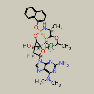 CC(C)OC(=O)[C@@H](C)NP(=S)(Oc1cccc2ccccc12)OC1[C@@]2(CCl)O[C@@H](n3cnc4c(N(C)C)nc(N)nc43)[C@H](F)[C@@]12O